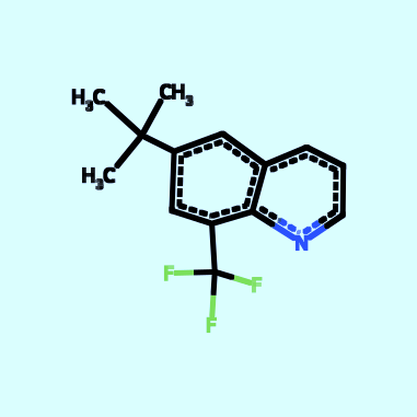 CC(C)(C)c1cc(C(F)(F)F)c2ncccc2c1